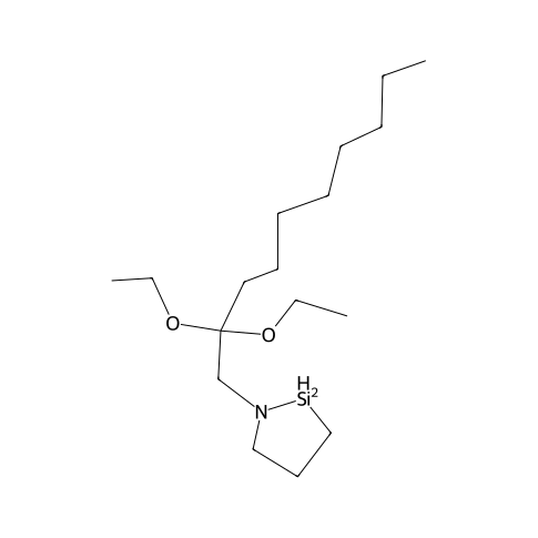 CCCCCCCCC(CN1CCC[SiH2]1)(OCC)OCC